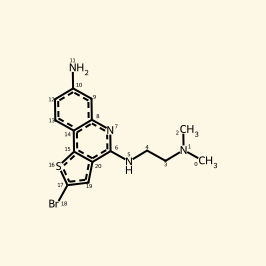 CN(C)CCNc1nc2cc(N)ccc2c2sc(Br)cc12